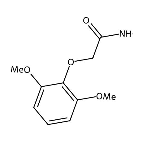 COc1cccc(OC)c1OCC([NH])=O